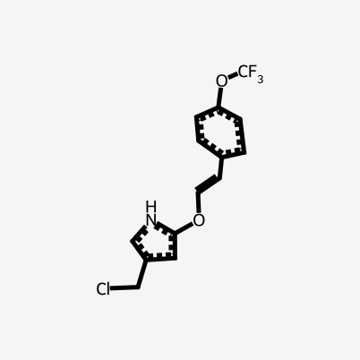 FC(F)(F)Oc1ccc(C=COc2cc(CCl)c[nH]2)cc1